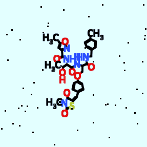 Cc1ccc(CNC(=O)C(COc2ccc(C=C3SC(=O)N(C)C3=O)cc2)NC(=O)[C@@H](NC(=O)c2cc(C)on2)[C@@H](C)O)cc1